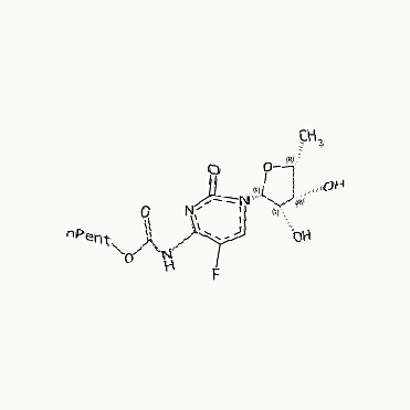 CCCCCOC(=O)Nc1nc(=O)n([C@@H]2O[C@H](C)[C@H](O)[C@@H]2O)cc1F